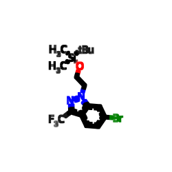 CC(C)(C)[Si](C)(C)OCCn1nc(C(F)(F)F)c2ccc(Br)cc21